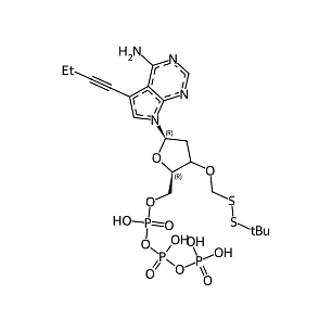 CCC#Cc1cn([C@H]2CC(OCSSC(C)(C)C)[C@@H](COP(=O)(O)OP(=O)(O)OP(=O)(O)O)O2)c2ncnc(N)c12